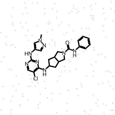 Cn1cc(Nc2ncc(Cl)c(NC3CC4CN(C(=O)Nc5ccccc5)CC4C3)n2)cn1